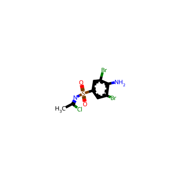 CC(Cl)=NS(=O)(=O)c1cc(Br)c(N)c(Br)c1